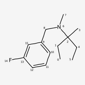 CCC(C)(CC)N(C)Cc1cccc(F)c1